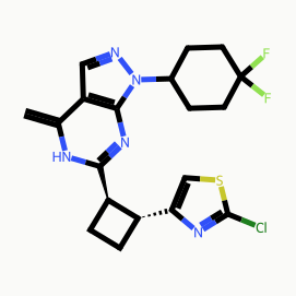 C=C1NC([C@@H]2CC[C@H]2c2csc(Cl)n2)=Nc2c1cnn2C1CCC(F)(F)CC1